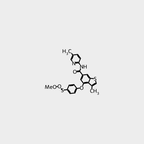 COOSc1ccc(Oc2cc(C(=O)Nc3ccc(C)cn3)cc3scc(C)c23)cc1